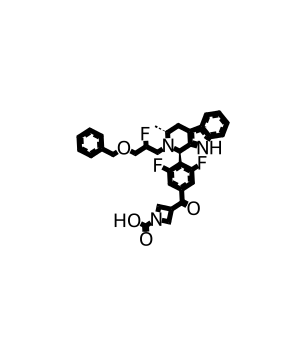 C[C@@H]1Cc2c([nH]c3ccccc23)[C@@H](c2c(F)cc(C(=O)C3CN(C(=O)O)C3)cc2F)N1CC(F)COCc1ccccc1